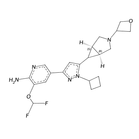 Nc1ncc(-c2cc(C3[C@H]4CN(C5COC5)C[C@@H]34)n(C3CCC3)n2)cc1OC(F)F